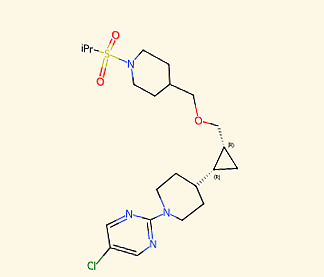 CC(C)S(=O)(=O)N1CCC(COC[C@@H]2C[C@@H]2C2CCN(c3ncc(Cl)cn3)CC2)CC1